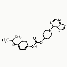 CC(C)Oc1ccc(NC(=O)OC2CCN(c3ncnc4ccsc34)CC2)cc1